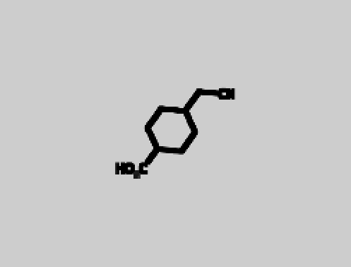 N#CCC1CCC(C(=O)O)CC1